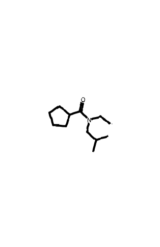 [CH2]CN(CC(C)C)C(=O)C1CCCC1